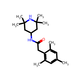 Cc1cc(C)c(CC(=O)NC2CC(C)(C)NC(C)(C)C2)c(C)c1